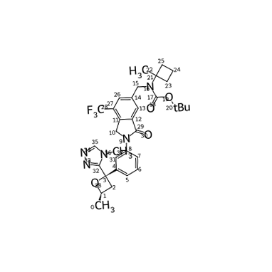 C[C@@H]1C[C@@](c2cccc(N3Cc4c(cc(CN(C(=O)OC(C)(C)C)C5(C)CCC5)cc4C(F)(F)F)C3=O)c2)(c2nncn2C)O1